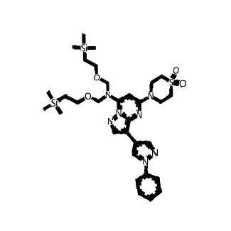 C[Si](C)(C)CCOCN(COCC[Si](C)(C)C)c1cc(N2CCS(=O)(=O)CC2)nc2c(-c3cnn(-c4ccccc4)c3)cnn12